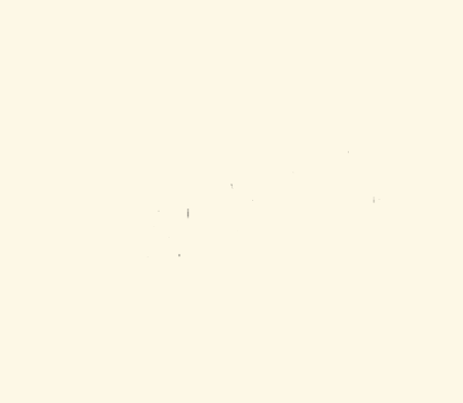 CC(C)CCCC(C)C1CCC2C3CC=C4CC(OC(=O)C(O)C(O)C(O)C(O)CO)CCC4(C)C3CCC12C